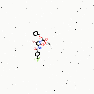 COC(=O)[C@H](COCc1ccccc1)n1cc(Br)cc(NC(=O)c2ccc(C(F)(F)F)cc2)c1=O